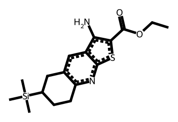 CCOC(=O)c1sc2nc3c(cc2c1N)CC([Si](C)(C)C)CC3